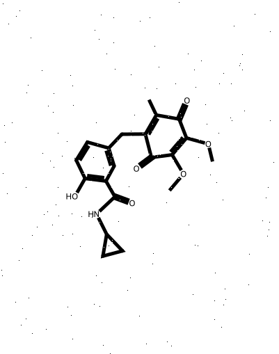 COC1=C(OC)C(=O)C(Cc2ccc(O)c(C(=O)NC3CC3)c2)=C(C)C1=O